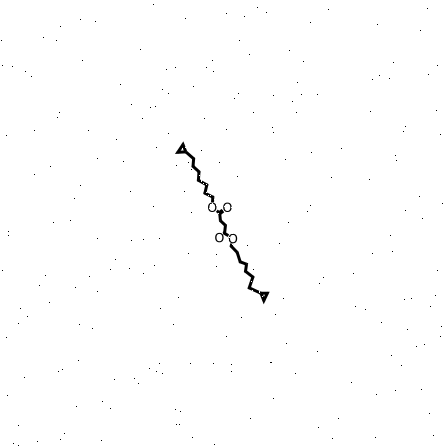 O=C(CCC(=O)OCCCCCCCC1CC1)OCCCCCCCC1CC1